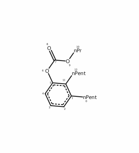 CCCCCc1cccc(OC(=O)OCCC)c1CCCCC